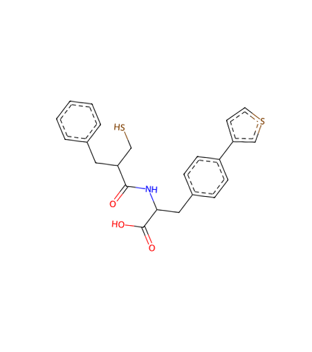 O=C(NC(Cc1ccc(-c2ccsc2)cc1)C(=O)O)C(CS)Cc1ccccc1